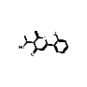 C=C1OC(c2ccccc2Cl)=CC(=O)C1C(C)O